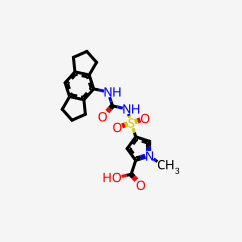 Cn1cc(S(=O)(=O)NC(=O)Nc2c3c(cc4c2CCC4)CCC3)cc1C(=O)O